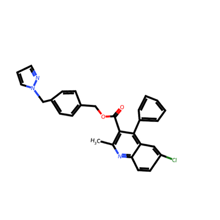 Cc1nc2ccc(Cl)cc2c(-c2ccccc2)c1C(=O)OCc1ccc(Cn2cccn2)cc1